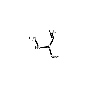 C=CN(NC)NN